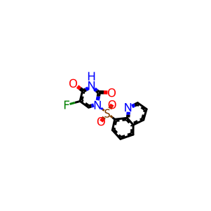 O=c1[nH]c(=O)n(S(=O)(=O)c2cccc3cccnc23)cc1F